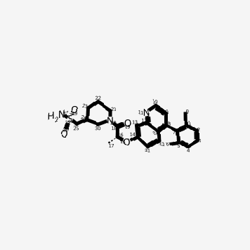 Cc1cccc(C)c1-c1ccnc2cc(O[C@H](C)C(=O)N3CCCC(CS(N)(=O)=O)C3)ccc12